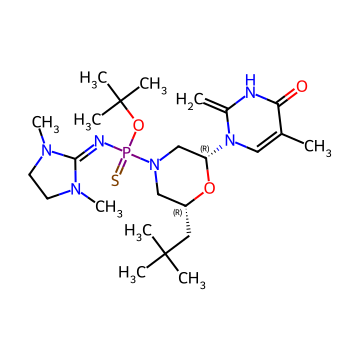 C=C1NC(=O)C(C)=CN1[C@H]1CN(P(=S)(N=C2N(C)CCN2C)OC(C)(C)C)C[C@@H](CC(C)(C)C)O1